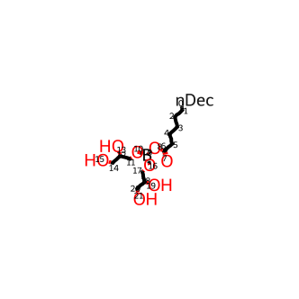 CCCCCCCCCCCCCCCC(=O)OB(OCC(O)CO)OCC(O)CO